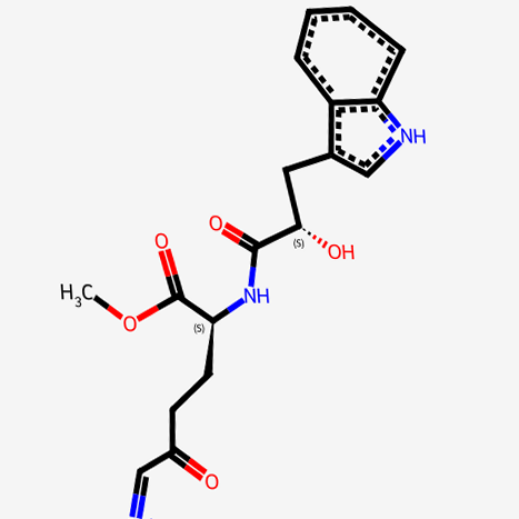 COC(=O)[C@H](CCC(=O)C=N)NC(=O)[C@@H](O)Cc1c[nH]c2ccccc12